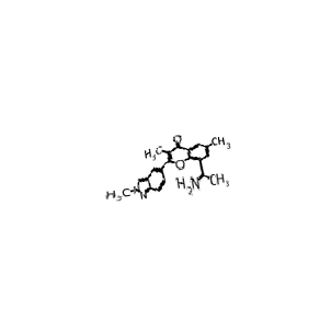 Cc1cc([C@@H](C)N)c2oc(-c3ccc4nn(C)cc4c3)c(C)c(=O)c2c1